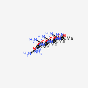 COc1ccc(NC(=O)[C@H](CCCCN)NC(=O)c2cc(NC(=O)[C@H](CCCCN)NC(=O)c3cc(NC(=O)[C@H](CCCCN)NC(=O)c4ccc(NC(=O)[C@@H](N)CCCCN)cc4OC)ccc3OC)ccc2OC)cc1C(N)=O